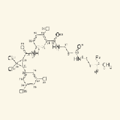 CC(F)(F)CCNC(=O)CCNC(=O)c1cc(NC(=O)C2C(c3cc(Cl)cc(Cl)c3)C2(Cl)Cl)ccc1Cl